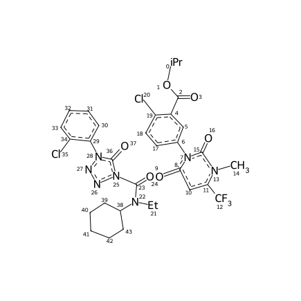 CC(C)OC(=O)c1cc(-n2c(=O)cc(C(F)(F)F)n(C)c2=O)ccc1Cl.CCN(C(=O)n1nnn(-c2ccccc2Cl)c1=O)C1CCCCC1